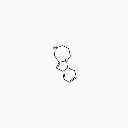 C1=CCC2C(=C1)C=C1CNCCCN12